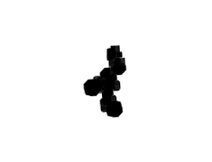 O=C(NCCC1COc2ccccc2O1)C1CN(c2ccnc(-n3ccnc3)n2)CCN1C(=O)Oc1ccccc1